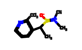 CC(c1cccnc1C(Cl)(Cl)Cl)S([O-])=[N+](C)C#N